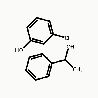 CC(O)c1ccccc1.Oc1cccc(Cl)c1